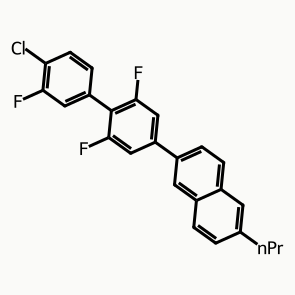 CCCc1ccc2cc(-c3cc(F)c(-c4ccc(Cl)c(F)c4)c(F)c3)ccc2c1